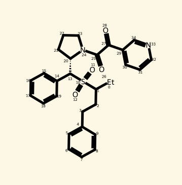 CCC(CCc1ccccc1)S(=O)(=O)C(c1ccccc1)[C@@H]1CCCN1C(=O)C(=O)c1cccnc1